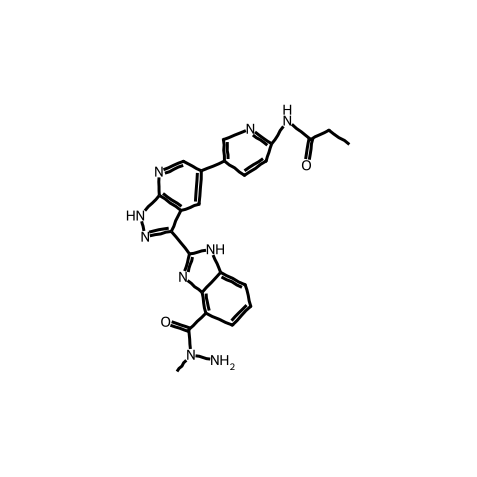 CCC(=O)Nc1ccc(-c2cnc3[nH]nc(-c4nc5c(C(=O)N(C)N)cccc5[nH]4)c3c2)cn1